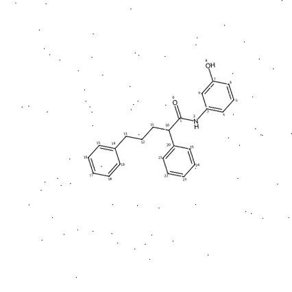 O=C(Nc1cccc(O)c1)C(CCCc1ccccc1)c1ccccc1